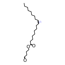 CCCCCCCC/C=C\CCCCCCCC(=O)OCCCC=O